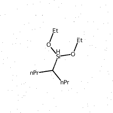 CCCC(CCC)[SiH](OCC)OCC